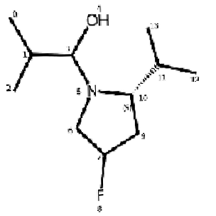 CC(C)C(O)N1CC(F)C[C@H]1C(C)C